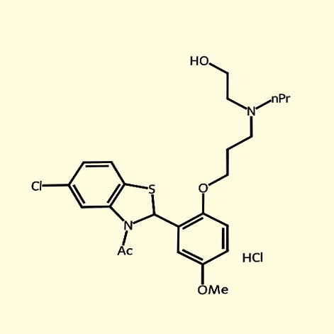 CCCN(CCO)CCCOc1ccc(OC)cc1C1Sc2ccc(Cl)cc2N1C(C)=O.Cl